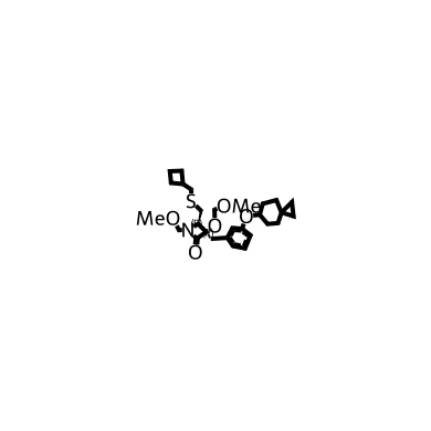 COCO[C@@]1(Cc2cccc(OC3CCC4(CC3)CC4)c2)C(=O)N(COC)[C@H]1CSCC1CCC1